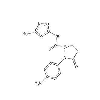 CC(C)(C)c1cc(NC(=O)[C@@H]2CCC(=O)N2c2ccc(N)cc2)on1